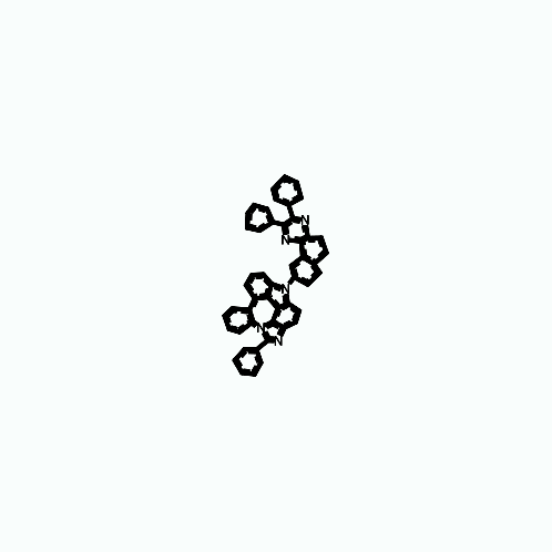 c1ccc(-c2nc3ccc4ccc(-n5c6cccc7c8ccccc8n8c(-c9ccccc9)nc9ccc5c(c76)c98)cc4c3nc2-c2ccccc2)cc1